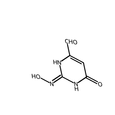 O=Cc1cc(=O)[nH]c(=NO)[nH]1